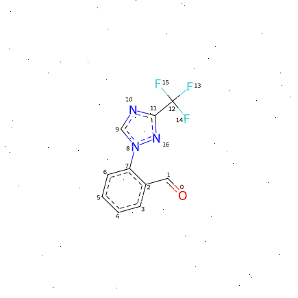 O=Cc1ccccc1-n1cnc(C(F)(F)F)n1